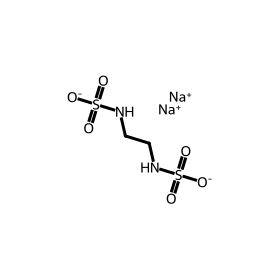 O=S(=O)([O-])NCCNS(=O)(=O)[O-].[Na+].[Na+]